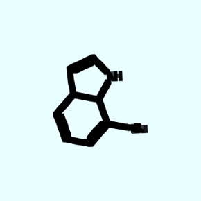 CC(C)(C)C1=CC=CC2C=CNC12